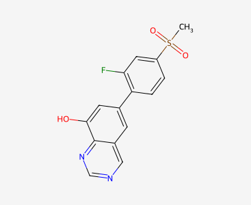 CS(=O)(=O)c1ccc(-c2cc(O)c3ncncc3c2)c(F)c1